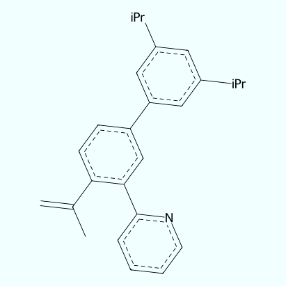 C=C(C)c1ccc(-c2cc(C(C)C)cc(C(C)C)c2)cc1-c1ccccn1